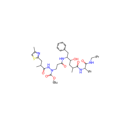 Cc1csc(CC(C)C(=O)NN(CCC(=O)NC(Cc2ccccc2)C(O)CC(C)C(=O)NC(C(=O)NCC(C)C)C(C)C)C(=O)OC(C)(C)C)n1